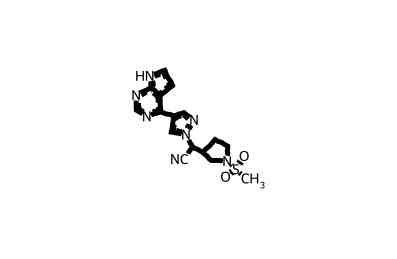 CS(=O)(=O)N1CCC(C(C#N)n2cc(-c3ncnc4[nH]ccc34)cn2)C1